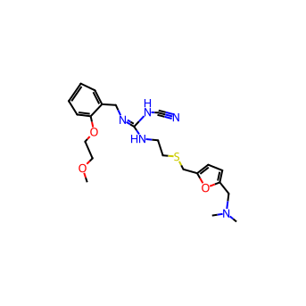 COCCOc1ccccc1C/N=C(\NC#N)NCCSCc1ccc(CN(C)C)o1